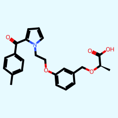 Cc1ccc(C(=O)c2cccn2CCOc2cccc(CO[C@H](C)C(=O)O)c2)cc1